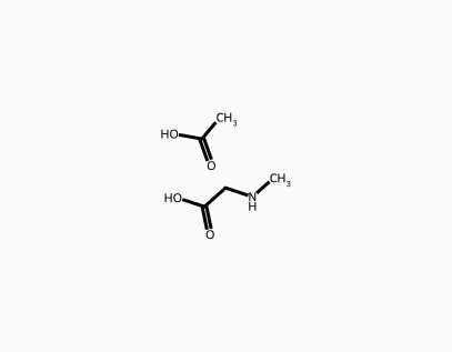 CC(=O)O.CNCC(=O)O